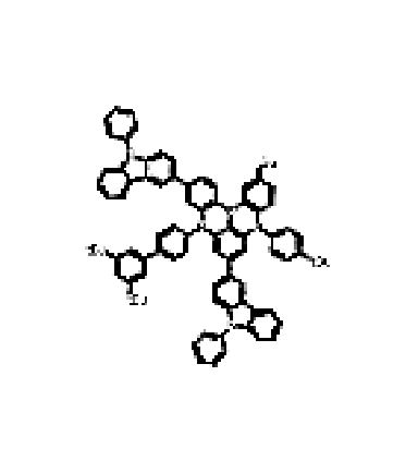 CC(C)(C)c1ccc(N2c3ccc(C(C)(C)C)cc3B3c4ccc(-c5ccc6c(c5)c5ccccc5n6-c5ccccc5)cc4N(c4ccc(-c5cc(C(C)(C)C)cc(C(C)(C)C)c5)cc4)c4cc(-c5ccc6c(c5)c5ccccc5n6-c5ccccc5)cc2c43)cc1